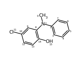 CN(c1ccccc1)c1cc(Cl)ccc1O